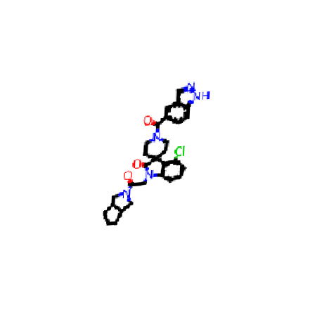 O=C(CN1C(=O)C2(CCN(C(=O)c3ccc4[nH]ncc4c3)CC2)c2c(Cl)cccc21)N1CC2CCCC2C1